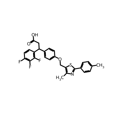 Cc1ccc(-c2nc(C)c(COc3ccc(C(CC(=O)O)c4ccc(F)c(F)c4F)cc3)s2)cc1